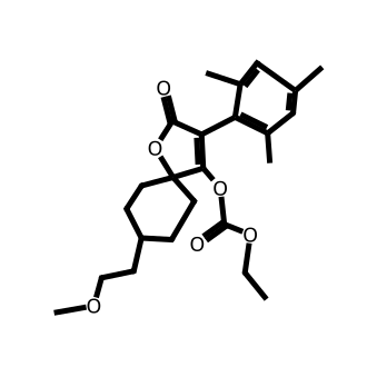 CCOC(=O)OC1=C(c2c(C)cc(C)cc2C)C(=O)OC12CCC(CCOC)CC2